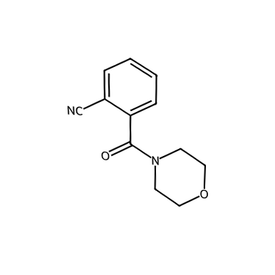 N#Cc1ccccc1C(=O)N1CCOCC1